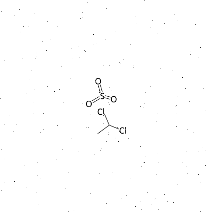 CC(Cl)Cl.O=S(=O)=O